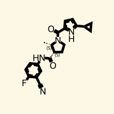 C[C@H]1[C@@H](C(=O)Nc2ccc(F)c(C#N)c2)CCN1C(=O)c1ccc(C2CC2)[nH]1